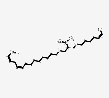 CC/C=C\CCCCOC[C@H](COCCCCCCCC/C=C\C/C=C\CCCCC)N(C)C